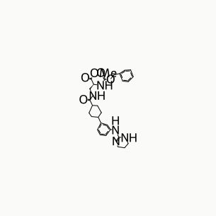 COC(=O)[C@H](CNC(=O)C1CCC(c2cccc(NC3=NCCCN3)c2)CC1)NC(=O)OCc1ccccc1